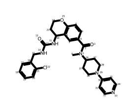 CN(C(=O)c1ccc2c(c1)C(NC(=O)NCc1ccccc1Cl)CCO2)C1CCN(c2ccncc2)CC1